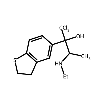 CCNC(C)C(O)(c1ccc2c(c1)CCS2)C(Cl)(Cl)Cl